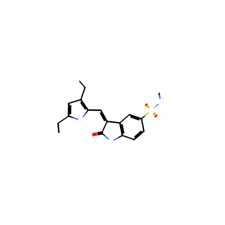 CCc1cc(CC)c(C=C2C(=O)Nc3ccc(S(=O)(=O)NC)cc32)[nH]1